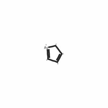 C1=CC[As]=C1